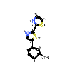 CC(C)(C)c1cccc(-c2cnc(-c3nccs3)s2)c1